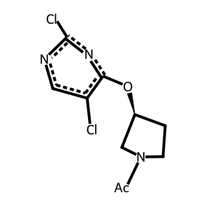 CC(=O)N1CC[C@H](Oc2nc(Cl)ncc2Cl)C1